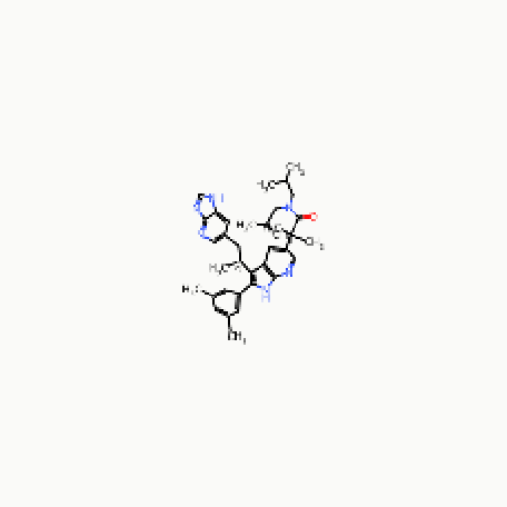 Cc1cc(C)cc(-c2[nH]c3ncc(C(C)(C)C(=O)N(CC(C)C)CC(C)C)cc3c2[C@@H](C)Cc2cnc3nc[nH]c3c2)c1